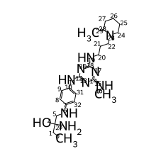 CCC(N)(O)CNc1ccc(Nc2nc(NC)nc(NCCCN3CCCCC3C)n2)cc1